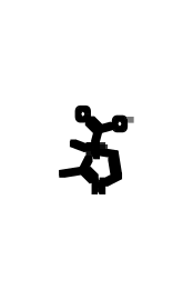 CC1=NC=C[N+]1(C)C(=O)[O-]